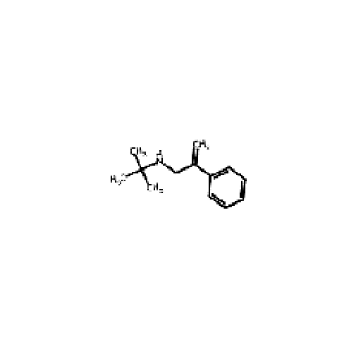 C=C(CNC(C)(C)C)c1ccccc1